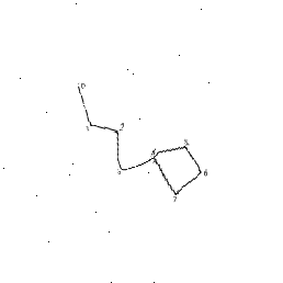 [CH2]CCC[C]1CCC1